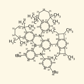 CC1c2cc3c(c(-c4cc5c6c(c4)N(c4ccc7c(c4)C(C)(C)CCCC7(C)C)c4cc7c(cc4B6c4cc(C(C)(C)C)ccc4N5c4ccc(C(C)(C)C)cc4)C(C)(C)CCCC7(C)C)c2C1C)C(C)C3C